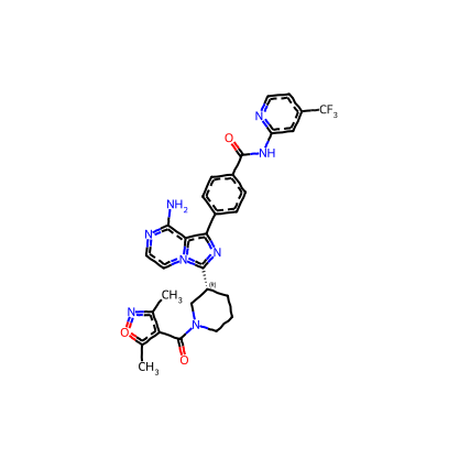 Cc1noc(C)c1C(=O)N1CCC[C@@H](c2nc(-c3ccc(C(=O)Nc4cc(C(F)(F)F)ccn4)cc3)c3c(N)nccn23)C1